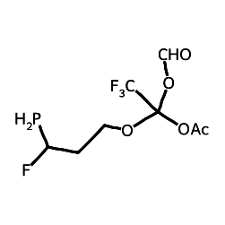 CC(=O)OC(OC=O)(OCCC(F)P)C(F)(F)F